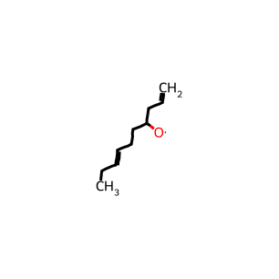 C=CCC([O])CCC=CCC